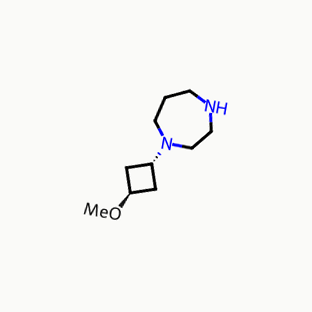 CO[C@H]1C[C@H](N2CCCNCC2)C1